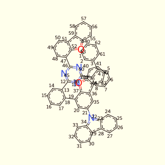 c1ccc(-c2ccccc2-c2nc(-c3ccccc3-c3cc(-n4c5ccccc5c5ccccc54)cc4c3oc3ccccc34)nc(-c3cccc4c3oc3ccccc34)n2)cc1